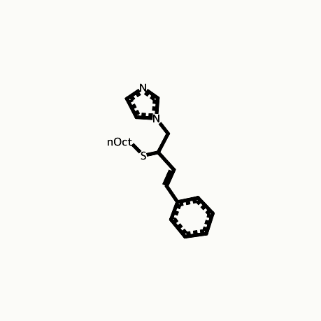 CCCCCCCCSC(C=Cc1ccccc1)Cn1ccnc1